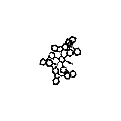 N#Cc1c(-c2cccc(-c3ccccc3)n2)c(-n2c3ccccc3c3cc4c5ccccc5n(-c5ccccc5)c4cc32)c(-c2cccc(-c3ccccc3)n2)c(-n2c3ccccc3c3cc4c5ccccc5n(-c5ccccc5)c4cc32)c1-c1cccc(-c2ccccc2)n1